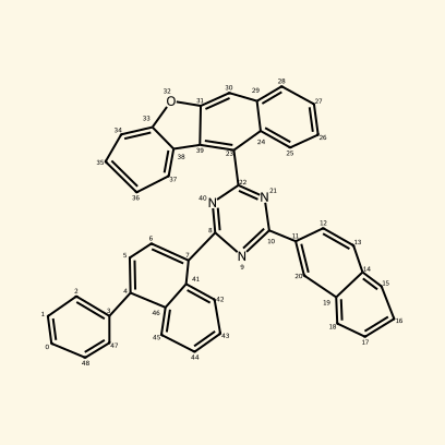 c1ccc(-c2ccc(-c3nc(-c4ccc5ccccc5c4)nc(-c4c5ccccc5cc5oc6ccccc6c45)n3)c3ccccc23)cc1